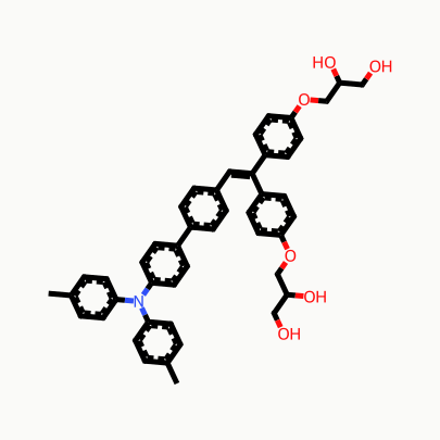 Cc1ccc(N(c2ccc(C)cc2)c2ccc(-c3ccc(C=C(c4ccc(OCC(O)CO)cc4)c4ccc(OCC(O)CO)cc4)cc3)cc2)cc1